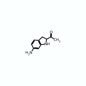 CC(=O)C1Cc2ccc(N)cc2N1